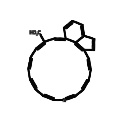 O=C(O)c1cccccccncccccc2c3c(cccc3c1)C=C2